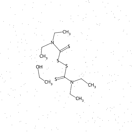 CCN(CC)C(=S)SSC(=S)N(CC)CC.CCO